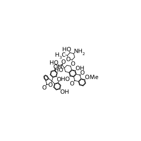 COc1cccc2c1C(=O)c1c(O)c3c(c(O)c1C2=O)C[C@@](O)(C(=O)CO)C[C@@H]3O[C@H]1C[C@H](N)[C@H](O)[C@H](C)O1.O=C1OC2(c3ccc(O)cc3Oc3cc(O)ccc32)c2ccccc21